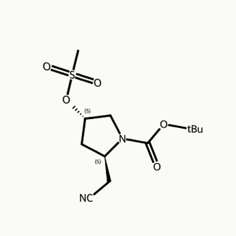 CC(C)(C)OC(=O)N1C[C@@H](OS(C)(=O)=O)C[C@@H]1CC#N